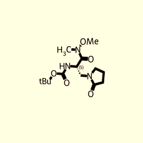 CON(C)C(=O)[C@H](CN1CCCC1=O)NC(=O)OC(C)(C)C